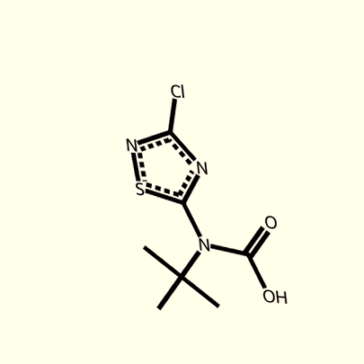 CC(C)(C)N(C(=O)O)c1nc(Cl)ns1